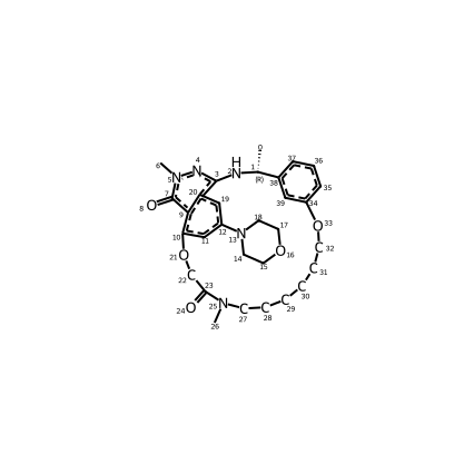 C[C@H]1Nc2nn(C)c(=O)c3c(cc(N4CCOCC4)cc23)OCC(=O)N(C)CCCCCCOc2cccc1c2